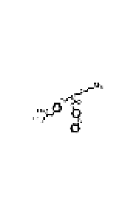 CCOC(Cc1ccc(OCCN(CCOCCCC(F)(F)F)C(=O)Oc2ccc(Oc3ccccc3)cc2)cc1)C(=O)O